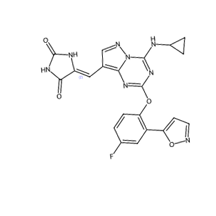 O=C1NC(=O)/C(=C/c2cnn3c(NC4CC4)nc(Oc4ccc(F)cc4-c4ccno4)nc23)N1